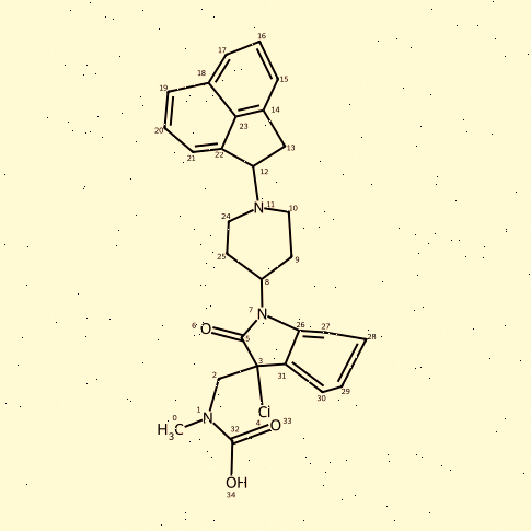 CN(CC1(Cl)C(=O)N(C2CCN(C3Cc4cccc5cccc3c45)CC2)c2ccccc21)C(=O)O